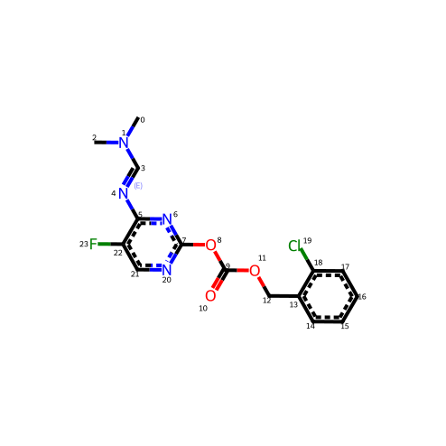 CN(C)/C=N/c1nc(OC(=O)OCc2ccccc2Cl)ncc1F